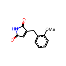 COc1ccccc1CC1=CC(=O)NC1=O